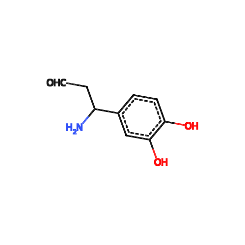 NC(CC=O)c1ccc(O)c(O)c1